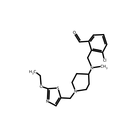 CCOc1ncc(CN2CCC(N(C)Cc3c(Cl)cccc3C=O)CC2)s1